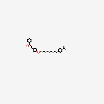 C=C(C)c1ccc(CCCCCCCCCCOc2ccc(C=CC(=O)c3ccccc3)cc2)cc1